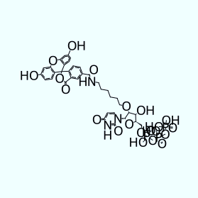 O=C(NCCCCCCO[C@@H]1[C@H](O)[C@@H](COP(=O)(O)OP(=O)(O)OP(=O)(O)O)O[C@H]1n1ccc(=O)[nH]c1=O)c1ccc2c(c1)C(=O)OC21c2ccc(O)cc2Oc2cc(O)ccc21